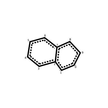 [c]1[c]c2[c]cc[c]c2[c]c1